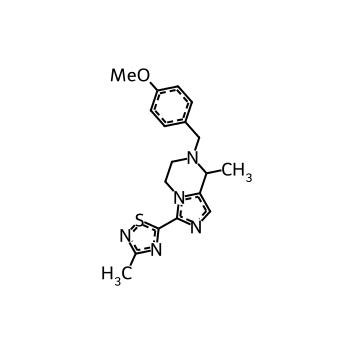 COc1ccc(CN2CCn3c(cnc3-c3nc(C)ns3)C2C)cc1